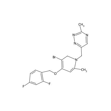 CC1=CC(OCc2ccc(F)cc2F)=C(Br)CN1Cc1cnc(C)nn1